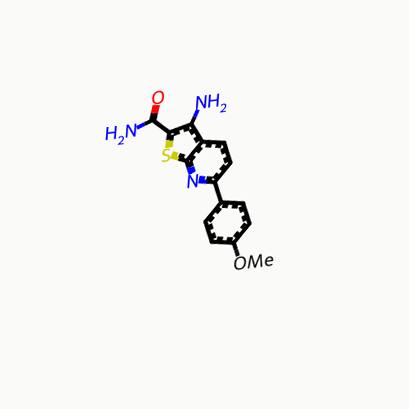 COc1ccc(-c2ccc3c(N)c(C(N)=O)sc3n2)cc1